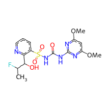 COc1cc(OC)nc(NC(=O)NS(=O)(=O)c2cccnc2C(O)C(C)F)n1